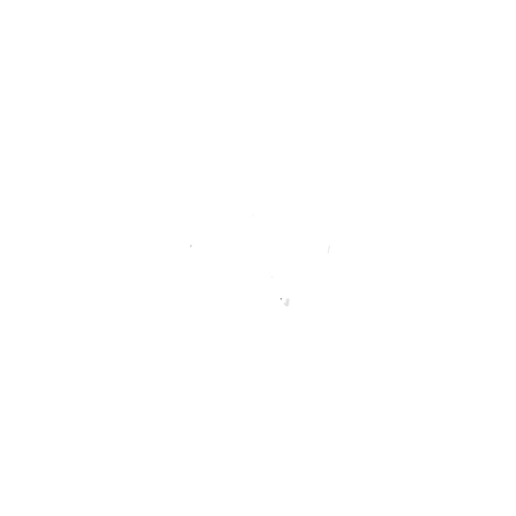 N[C@@H](O)c1ccsc1